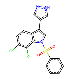 O=S(=O)(c1ccccc1)n1cc(-c2cn[nH]c2)c2ccc(Cl)c(Cl)c21